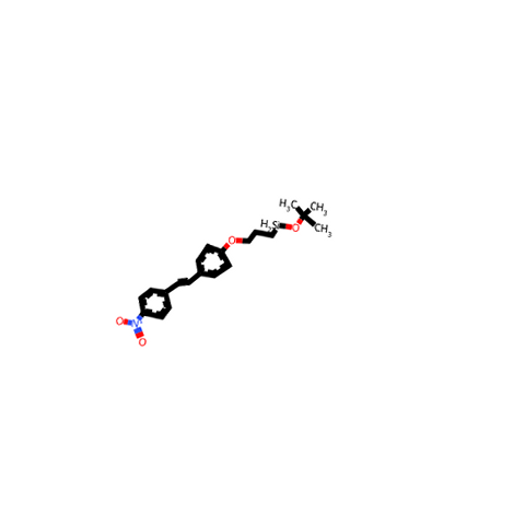 CC(C)(C)O[SiH2]CCCOc1ccc(C=Cc2ccc([N+](=O)[O-])cc2)cc1